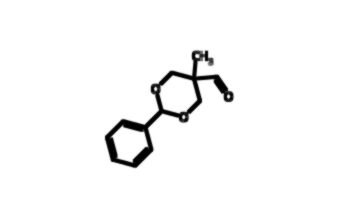 CC1(C=O)COC(c2ccccc2)OC1